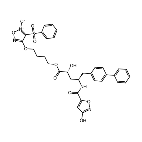 O=C(N[C@H](Cc1ccc(-c2ccccc2)cc1)C[C@@H](O)C(=O)OCCCCOc1no[n+]([O-])c1S(=O)(=O)c1ccccc1)c1cc(O)no1